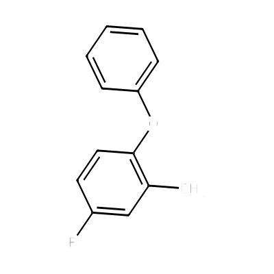 Cc1cc(F)ccc1Oc1ccccc1